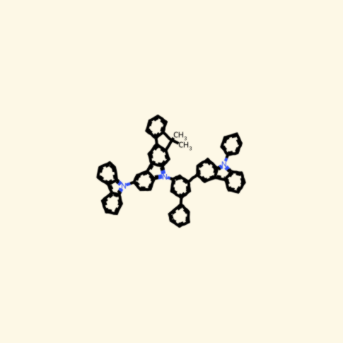 CC1(C)c2ccccc2-c2cc3c4cc(-n5c6ccccc6c6ccccc65)ccc4n(-c4cc(-c5ccccc5)cc(-c5ccc6c(c5)c5ccccc5n6-c5ccccc5)c4)c3cc21